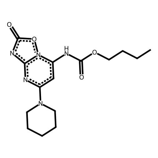 CCCCOC(=O)Nc1cc(N2CCCCC2)nc2nc(=O)on12